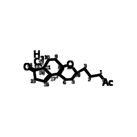 CC(=O)CCC[C@H]1CCC2=C(CC[C@]3(C)C(=O)CC=C23)O1